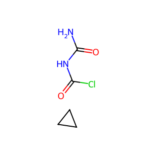 C1CC1.NC(=O)NC(=O)Cl